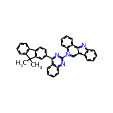 CC1(C)c2ccccc2-c2ccc(-c3nc(-n4cc5c6ccccc6nc-5c5ccccc54)nc4ccccc34)cc21